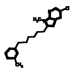 Cc1cccc(CCCCCCc2cc3cc(Cl)cnc3n2C)c1